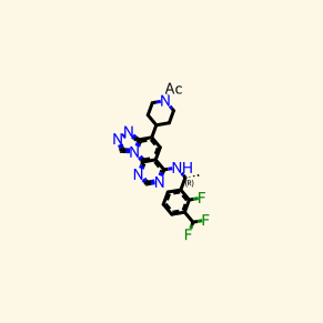 CC(=O)N1CCC(c2cc3c(N[C@H](C)c4cccc(C(F)F)c4F)ncnc3n3cnnc23)CC1